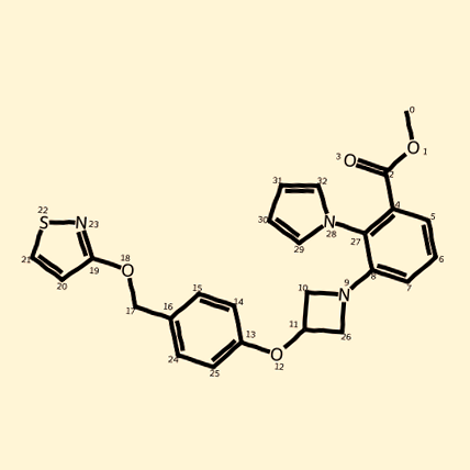 COC(=O)c1cccc(N2CC(Oc3ccc(COc4ccsn4)cc3)C2)c1-n1cccc1